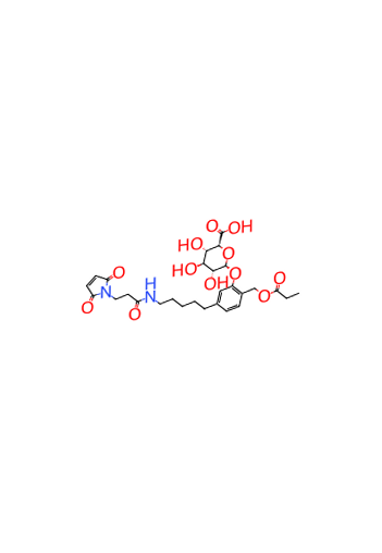 CCC(=O)OCc1ccc(CCCCCNC(=O)CCN2C(=O)C=CC2=O)cc1O[C@@H]1O[C@H](C(=O)O)[C@@H](O)[C@H](O)[C@H]1O